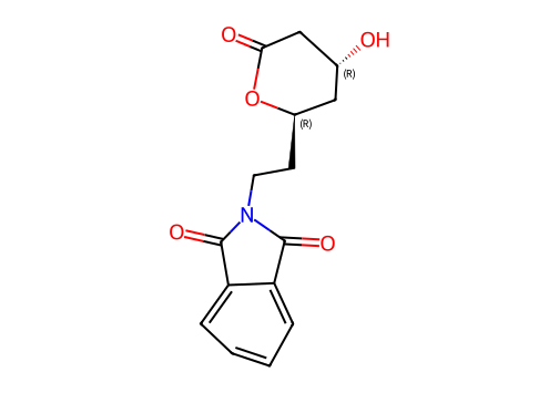 O=C1C[C@H](O)C[C@@H](CCN2C(=O)c3ccccc3C2=O)O1